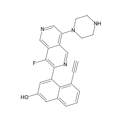 C#Cc1cccc2cc(O)cc(-c3ncc4c(N5CCNCC5)cncc4c3F)c12